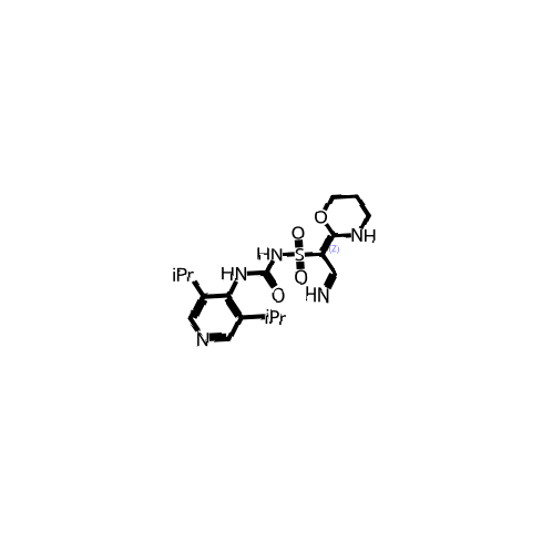 CC(C)c1cncc(C(C)C)c1NC(=O)NS(=O)(=O)/C(C=N)=C1/NCCCO1